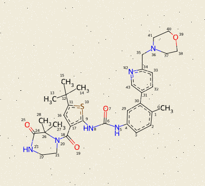 Cc1ccc(NC(=O)Nc2sc(C(C)(C)C)cc2C(=O)N2CCNC(=O)C2(C)C)cc1-c1ccc(CN2CCOCC2)nc1